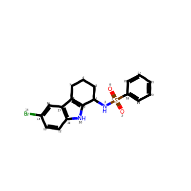 O=S(=O)(NC1CCCc2c1[nH]c1ccc(Br)cc21)c1ccccc1